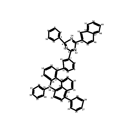 c1ccc(-c2nc(-c3cccc(-c4cccc5c4-c4cccc6c(-c7ccccc7)ccc(c46)N5c4ccccc4)c3)nc(-c3ccc4ccccc4c3)n2)cc1